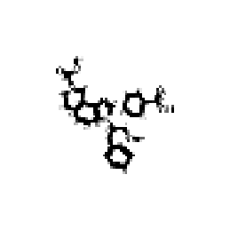 COC[C@@H](Cc1ccccc1)n1c2ccc3c(c2nc1[C@H]1CC[C@H](C(=O)O)CC1)CN(C(=O)OC)CC3